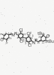 CC1=CC(=C/N=N/c2cc(C(F)(F)F)c(-c3cc(Cl)c(/N=N/C=C4C=C(C(C)(C)C)C(=O)C(C(C)(C)C)=C4)cc3C(F)(F)F)cc2Cl)C=C(C)C1=O